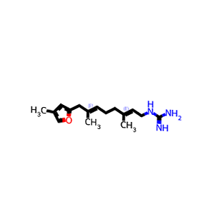 C/C(=C\CNC(=N)N)CC/C=C(\C)Cc1cc(C)co1